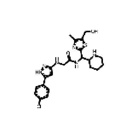 Cc1nc(C(NC(=O)CNc2cc(-c3ccc(Cl)cc3)[nH]n2)C2CCCCN2)sc1CO